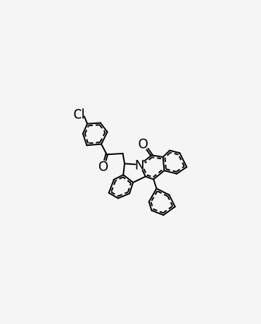 O=C(CC1c2ccccc2-c2c(-c3ccccc3)c3ccccc3c(=O)n21)c1ccc(Cl)cc1